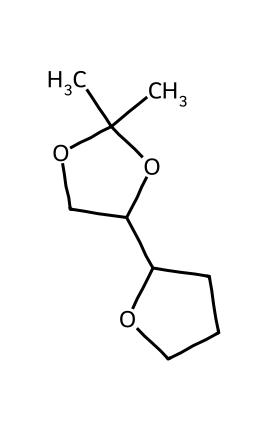 CC1(C)OCC(C2CCCO2)O1